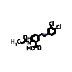 CCC(=O)Nc1ccc(/C=C/c2ccc(Cl)c(Cl)c2)cc1C(=O)O